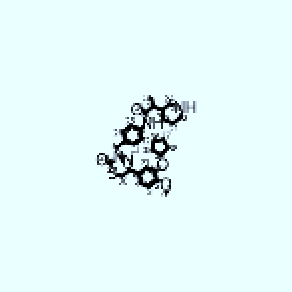 COc1ccc(C2=NN(Cc3ccc(NC(=O)C(C)C4CCCNC4)cc3)C(=O)SC2)cc1OC1CCCC1